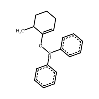 CC1CCCC=C1O[SiH](c1ccccc1)c1ccccc1